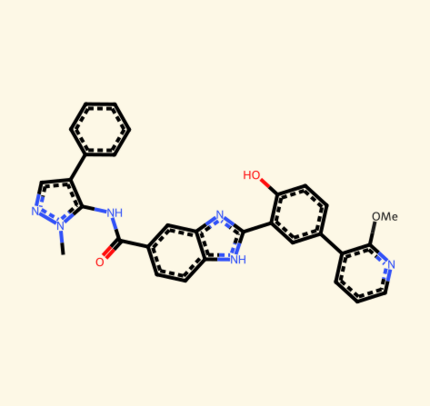 COc1ncccc1-c1ccc(O)c(-c2nc3cc(C(=O)Nc4c(-c5ccccc5)cnn4C)ccc3[nH]2)c1